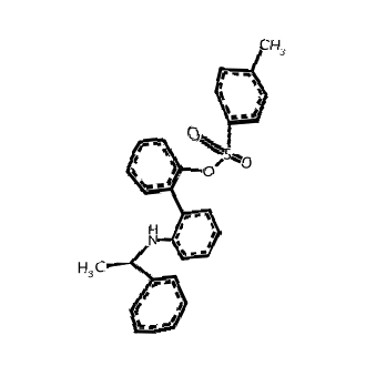 Cc1ccc(S(=O)(=O)Oc2ccccc2-c2ccccc2N[C@H](C)c2ccccc2)cc1